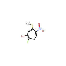 CSC1=CC(Br)=C(F)CC=C1[N+](=O)[O-]